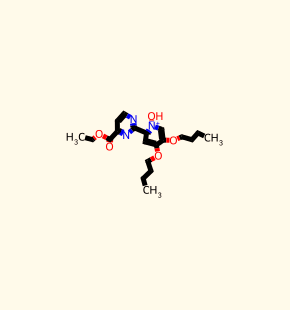 CCCCOc1cc(-c2nccc(C(=O)OCC)n2)[n+](O)cc1OCCCC